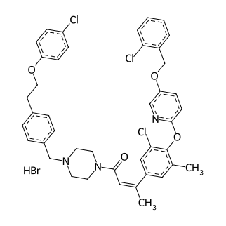 Br.CC(=CC(=O)N1CCN(Cc2ccc(CCOc3ccc(Cl)cc3)cc2)CC1)c1cc(C)c(Oc2ccc(OCc3ccccc3Cl)cn2)c(Cl)c1